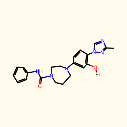 CCOc1cc(N2CCCN(C(=O)Nc3ccccc3)CC2)ccc1-n1cnc(C)n1